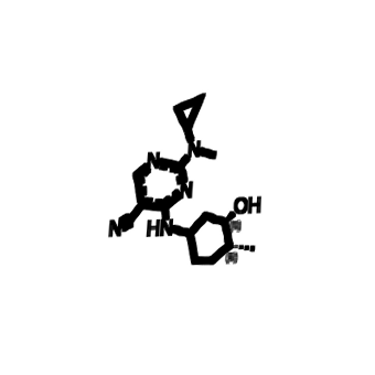 C[C@@H]1CCC(Nc2nc(N(C)C3CC3)ncc2C#N)C[C@H]1O